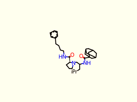 CC(C)CC(CN1CCC[C@H]1C(=O)NCCCCc1ccccc1)NC(=O)C12CC3CC(CC(C3)C1)C2